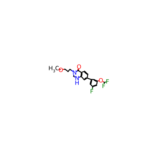 COCCCN1CNc2cc(-c3cc(F)cc(OC(F)F)c3)ccc2C1=O